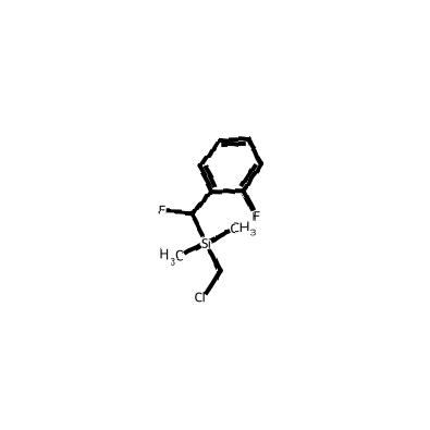 C[Si](C)(CCl)C(F)c1ccccc1F